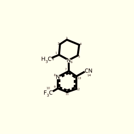 CC1CCCCN1c1nc(C(F)(F)F)ccc1C#N